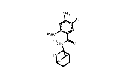 COc1cc(N)c(Cl)cc1C(=O)[NH+]([O-])C1CC2CCC1CN2